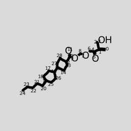 C=C(CO)C(=O)COCOC(=O)C1CCC(C2CCC(CCCCC)CC2)CC1